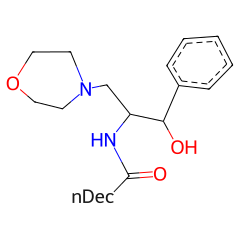 CCCCCCCCCCC(=O)NC(CN1CCOCC1)C(O)c1ccccc1